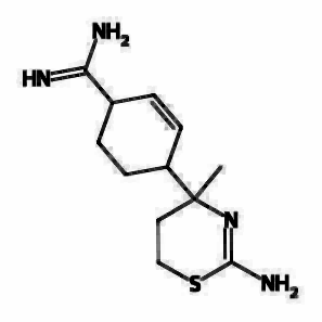 CC1(C2C=CC(C(=N)N)CC2)CCSC(N)=N1